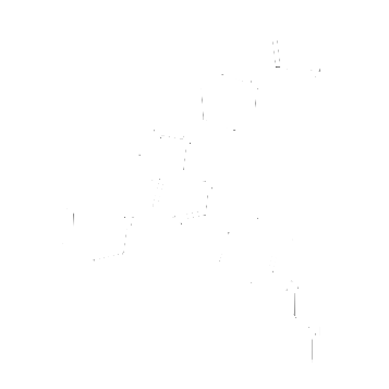 CCNC(=O)Nc1ccc(-c2nc(N3CCOCC3)c3cnn(C4CCN(C(=O)OC)CC4)c3n2)cc1